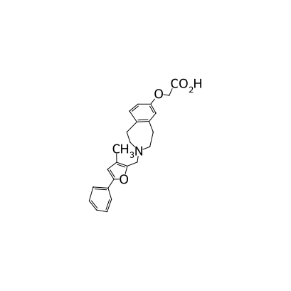 Cc1cc(-c2ccccc2)oc1CN1CCc2ccc(OCC(=O)O)cc2CC1